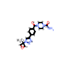 CC1(n2cc(-c3ccc(C(=O)N4CCN(C(N)=O)CC4)cc3)nn2)COC1